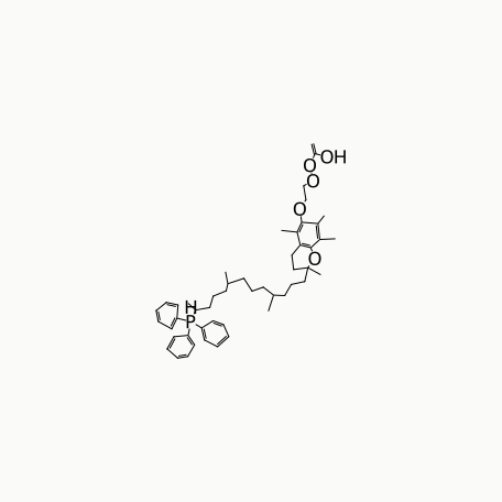 C=C(O)OOCCOc1c(C)c(C)c2c(c1C)CCC(C)(CCCC(C)CCCC(C)CCCC(C)[PH](c1ccccc1)(c1ccccc1)c1ccccc1)O2